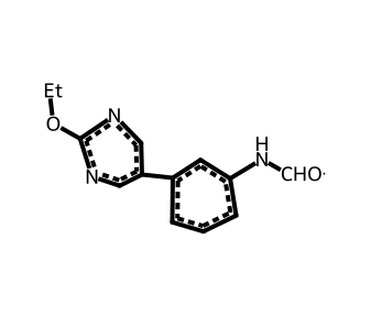 CCOc1ncc(-c2cccc(N[C]=O)c2)cn1